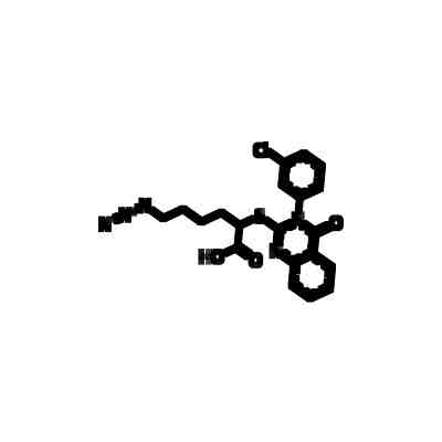 [N-]=[N+]=NCCCCC(Sc1nc2ccccc2c(=O)n1-c1cccc(Cl)c1)C(=O)O